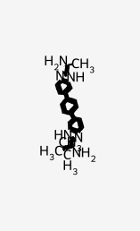 C[C@H](N)c1nc2ccc(-c3ccc(-c4ccc5nc([C@@H](N)C(C)(C)C)[nH]c5c4)cc3)cc2[nH]1